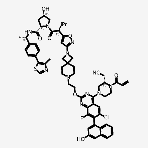 C=CC(=O)N1CCN(c2nc(OCCN3CCC4(CC3)CN(c3cc([C@@H](C(=O)N5C[C@H](O)C[C@H]5C(=O)N[C@@H](C)c5ccc(-c6scnc6C)cc5)C(C)C)on3)C4)nc3c(F)c(-c4cc(O)cc5ccccc45)c(Cl)cc23)C[C@@H]1CC#N